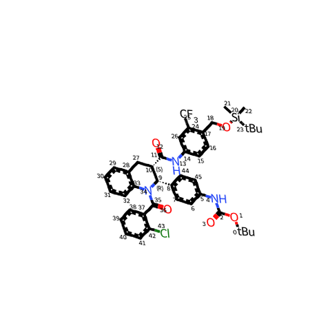 CC(C)(C)OC(=O)Nc1ccc([C@H]2[C@@H](C(=O)Nc3ccc(CO[Si](C)(C)C(C)(C)C)c(C(F)(F)F)c3)Cc3ccccc3N2C(=O)c2ccccc2Cl)cc1